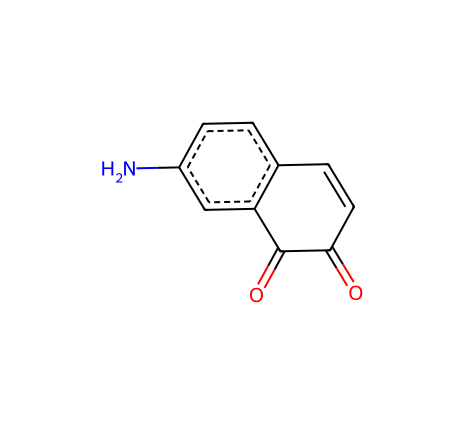 Nc1ccc2c(c1)C(=O)C(=O)C=C2